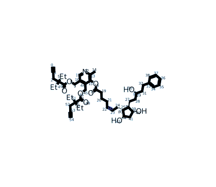 C#CCC(CC)(CC)C(=O)OCc1cnc(C)c(OC(=O)CCC/C=C\C[C@@H]2[C@@H](CC[C@@H](O)CCc3ccccc3)[C@H](O)C[C@@H]2O)c1COC(=O)C(CC)(CC)CC#C